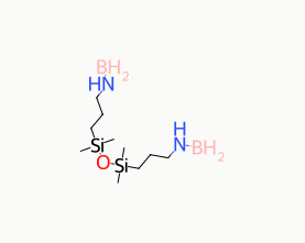 BNCCC[Si](C)(C)O[Si](C)(C)CCCNB